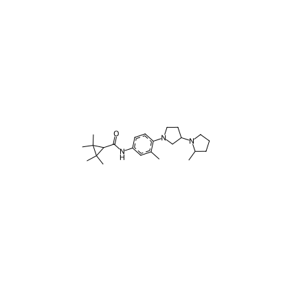 Cc1cc(NC(=O)C2C(C)(C)C2(C)C)ccc1N1CCC(N2CCCC2C)C1